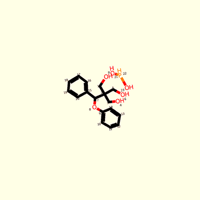 OCC(CO)(CO)C(Oc1ccccc1)c1ccccc1.OPO